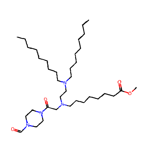 CCCCCCCCCN(CCCCCCCCC)CCN(CCCCCCCC(=O)OC)CC(=O)N1CCN(C=O)CC1